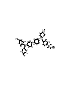 CCO[Si](C)(C)c1ccc(N(c2ccc(CC)cc2)c2ccc(-c3ccc(N(c4ccc(CC)cc4)c4ccc(CC)cc4)cc3)cc2)cc1